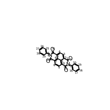 O=C1c2ccc3c4c(ccc(c24)C(=O)N1c1ccccc1)C(=O)N(c1ccccc1)C3=O